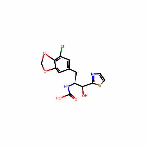 O=C(O)N[C@@H](Cc1cc(Cl)c2c(c1)OCO2)[C@H](O)c1nccs1